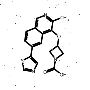 Cc1ncc2ccc(-c3cncs3)cc2c1OC1CN(C(=O)O)C1